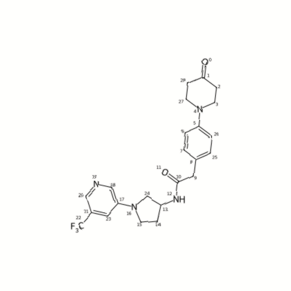 O=C1CCN(c2ccc(CC(=O)NC3CCN(c4cncc(C(F)(F)F)c4)C3)cc2)CC1